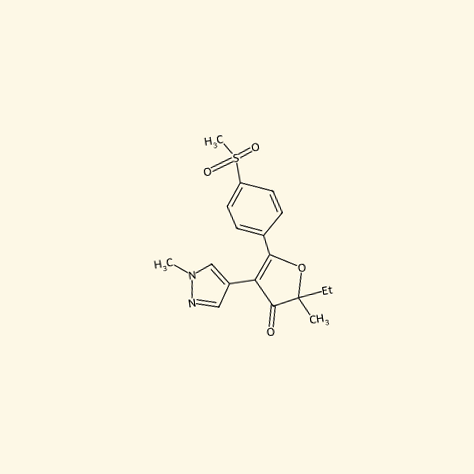 CCC1(C)OC(c2ccc(S(C)(=O)=O)cc2)=C(c2cnn(C)c2)C1=O